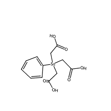 O=C(O)[CH2][Sn]([CH2]C(=O)O)([CH2]C(=O)O)[c]1ccccc1